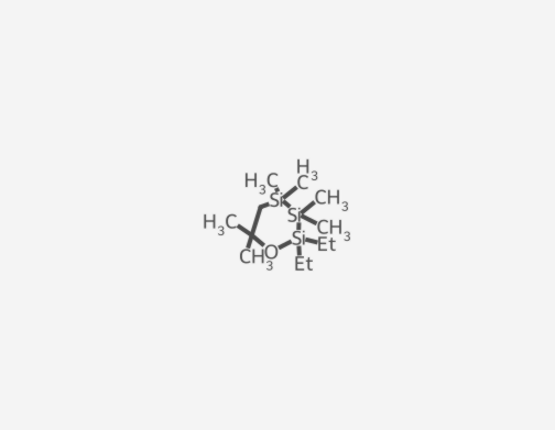 CC[Si]1(CC)OC(C)(C)C[Si](C)(C)[Si]1(C)C